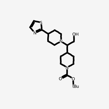 CC(C)(C)OC(=O)N1CCC(C(CO)N2CCC(c3nccs3)CC2)CC1